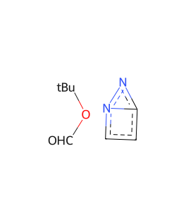 CC(C)(C)OC=O.c1cn2nc1-2